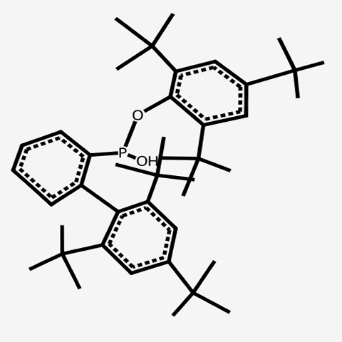 CC(C)(C)c1cc(C(C)(C)C)c(OP(O)c2ccccc2-c2c(C(C)(C)C)cc(C(C)(C)C)cc2C(C)(C)C)c(C(C)(C)C)c1